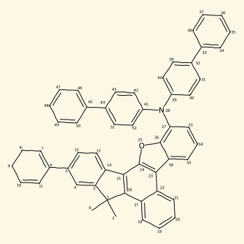 CC1(C)c2cc(C3=CCCC=C3)ccc2-c2c1c1ccccc1c1c2oc2c(N(c3ccc(-c4ccccc4)cc3)c3ccc(-c4ccccc4)cc3)cccc21